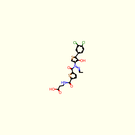 CC=NN(C(=O)c1ccc(C(=O)NCCC(=O)O)s1)c1csc(-c2ccc(Cl)c(Cl)c2)c1O